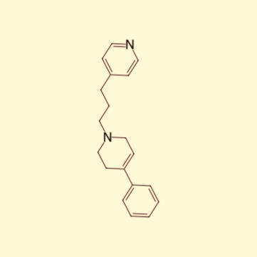 C1=C(c2ccccc2)CCN(CCCc2ccncc2)C1